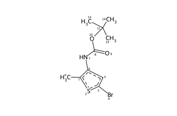 Cc1sc(Br)cc1NC(=O)OC(C)(C)C